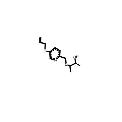 C=CCOc1ccc(COC(C)[C@H](C)O)nc1